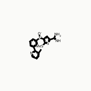 CSc1sc(C(=N)N)cc1[S+]([O-])c1cccc(-c2ncccc2C)c1